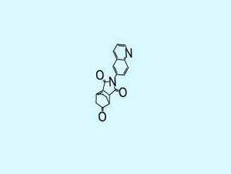 O=C1CC2=C3C(=O)N(c4ccc5ncccc5c4)C(=O)C3C1CC2